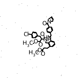 CCOC(=O)C(NCc1c(CCC(=O)OC)cccc1NCc1ccc(C(=O)N2CC=CC2)cc1)C(=O)c1ccc(Cl)cc1